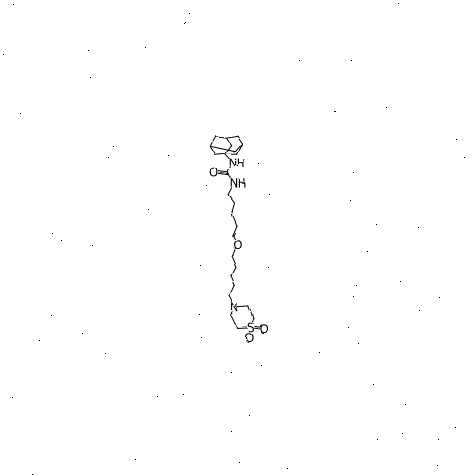 O=C(NCCCCCOCCCCCN1CCS(=O)(=O)CC1)NC12CC3CC(CC(C3)C1)C2